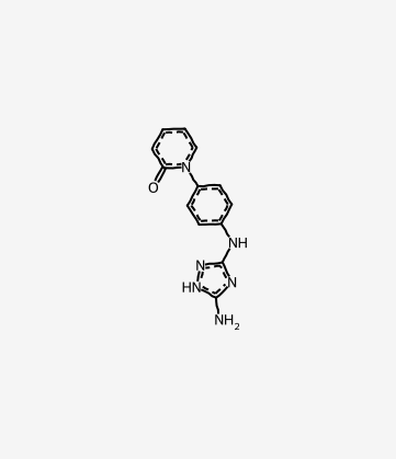 Nc1nc(Nc2ccc(-n3ccccc3=O)cc2)n[nH]1